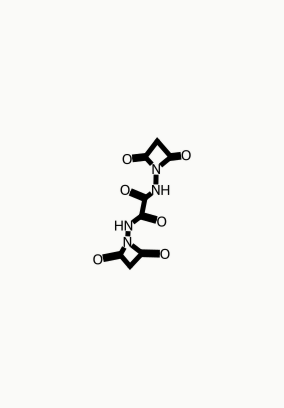 O=C(NN1C(=O)CC1=O)C(=O)NN1C(=O)CC1=O